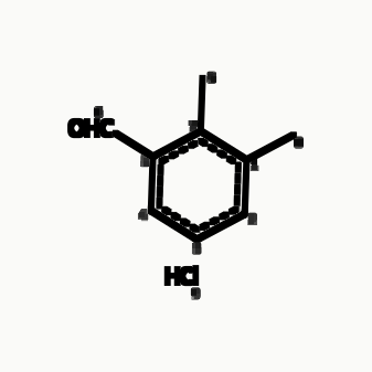 Cc1cccc(C=O)c1C.Cl